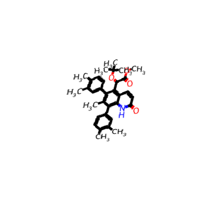 COC(=O)C(OC(C)(C)C)c1c(-c2ccc(C)c(C)c2)c(C)c(-c2ccc(C)c(C)c2)c2[nH]c(=O)ccc12